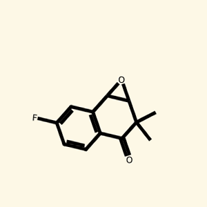 CC1(C)C(=O)c2ccc(F)cc2C2OC21